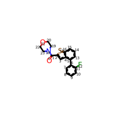 O=C(c1cc2c(-c3ccccc3F)cccc2s1)N1CCOCC1